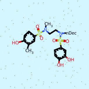 CCCCCCCCCCN(CCN(C)S(=O)(=O)c1ccc(O)c(C)c1)S(=O)(=O)c1ccc(O)c(O)c1